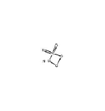 O=S1(=O)OOO1.[Al]